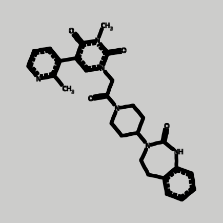 Cc1ncccc1-c1cn(CC(=O)N2CCC(N3CCc4ccccc4NC3=O)CC2)c(=O)n(C)c1=O